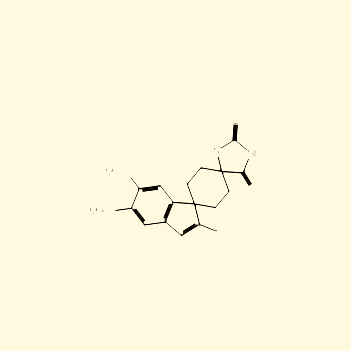 COc1cc2c(cc1OC)C1(CCC3(CC1)NC(=O)NC3=O)C(Br)=C2